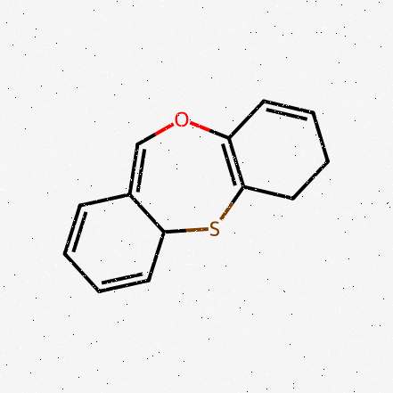 C1=CC2=COC3=C(CCC=C3)SC2C=C1